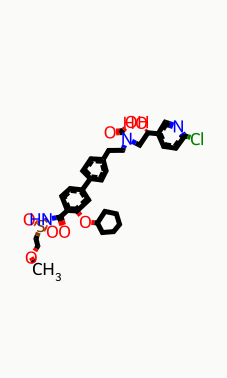 COCCS(=O)(=O)NC(=O)c1ccc(-c2ccc(CCN(C[C@@H](O)c3ccc(Cl)nc3)C(=O)O)cc2)cc1OC1CCCCC1